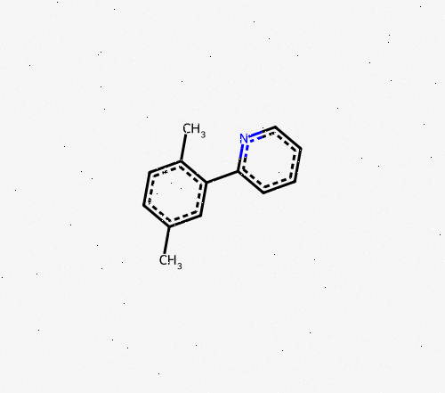 Cc1ccc(C)c(-c2ccccn2)c1